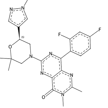 Cc1nc2c(-c3ccc(F)cc3F)nc(N3C[C@H](c4cnn(C)c4)OC(C)(C)C3)nc2c(=O)n1C